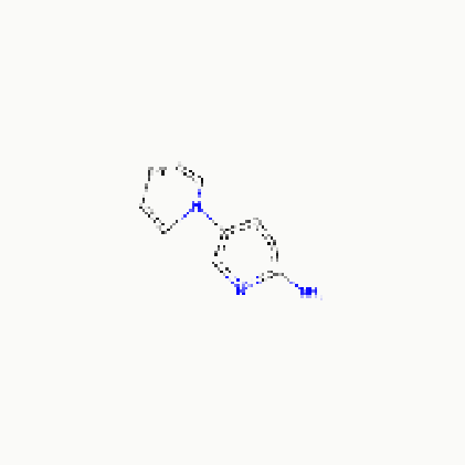 C=CN(/C=C\CCC)c1ccc(N)nc1